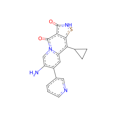 Nc1cn2c(=O)c3c(=O)[nH]sc3c(C3CC3)c2cc1-c1cccnc1